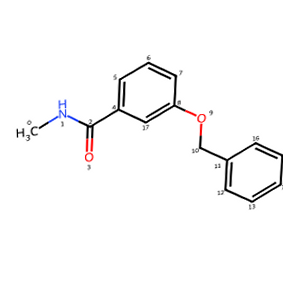 CNC(=O)c1cccc(OCc2ccccc2)c1